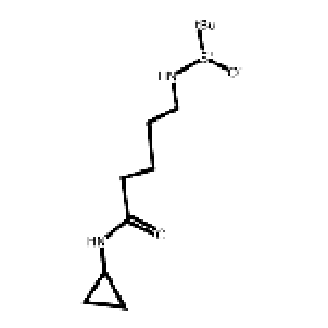 CC(C)(C)[S+]([O-])NCCCCC(=O)NC1CC1